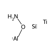 N[O][Al].[Si].[Ti]